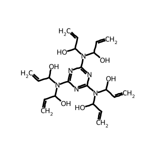 C=CC(O)N(c1nc(N(C(O)C=C)C(O)C=C)nc(N(C(O)C=C)C(O)C=C)n1)C(O)C=C